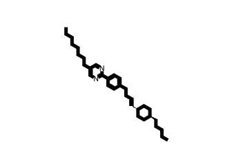 CCCCCCCCc1cnc(-c2ccc(CCC=C[C@H]3CC[C@H](CCCCC)CC3)cc2)nc1